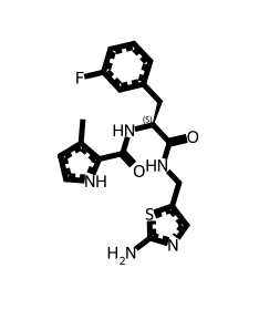 Cc1cc[nH]c1C(=O)N[C@@H](Cc1cccc(F)c1)C(=O)NCc1cnc(N)s1